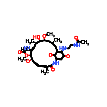 CO[C@H]1/C=C\C=C(/C)C(=O)NC2=CC(=O)C(NCCNC(C)=O)=C(C[C@@H](C)C[C@H](OC)[C@H](O)[C@@H](C)/C=C(\C)[C@@H]1OC(N)=O)C2=O